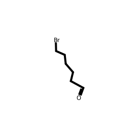 O=CCCCCCBr